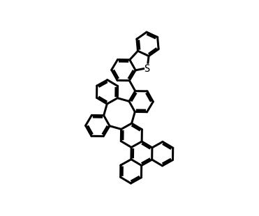 c1ccc2c(c1)-c1cc3c4ccccc4c4ccccc4c3cc1-c1cccc(-c3cccc4c3sc3ccccc34)c1-c1ccccc1-2